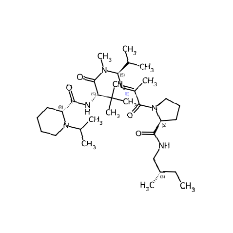 CC[C@H](C)CNC(=O)[C@@H]1CCCN1C(=O)/C(C)=C/[C@H](C(C)C)N(C)C(=O)[C@@H](NC(=O)[C@H]1CCCCN1C(C)C)C(C)(C)C